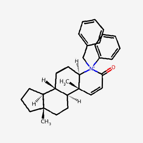 C[C@@]12CCC[C@H]1[C@@H]1CC[C@@H]3[C@](C)(C=CC(=O)[N+]3(Cc3ccccc3)c3ccccc3)[C@H]1CC2